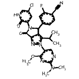 COc1nc(N(C)C)ncc1-n1nc2c(c1C(C)C)C(c1ccc(C#N)c(F)c1)N(c1cc(Cl)c[nH]c1=O)C2=O